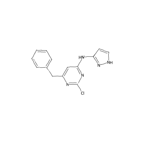 Clc1nc(Cc2ccccc2)cc(Nc2cc[nH]n2)n1